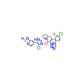 Nc1cc(-c2[nH]c([C@@H]3CCC4CC(c5c(-n6cnnn6)ccc(Cl)c5F)=CC(=O)N43)nc2Cl)ccn1